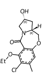 CCOc1c(Cl)c(C)cc2c1C(=O)N1C[C@H](O)C[C@@H]1CO2